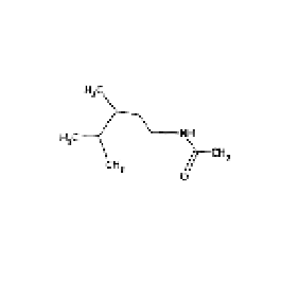 CC(=O)NCCC(C)C(C)C